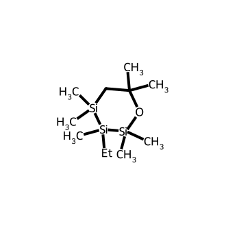 CC[Si]1(C)[Si](C)(C)CC(C)(C)O[Si]1(C)C